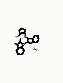 CCCC1=[C]([Zr+2][CH]2C(n3c(C)c(C)c4ccccc43)=Cc3ccccc32)CC=C1.[Cl-].[Cl-]